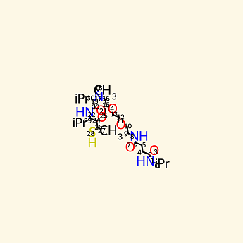 CC(C)NC(=O)CCC(=O)NCCOCCOCCN(C)[C@H](C(=O)N[C@H](C(=O)C(C)S)C(C)C)C(C)C